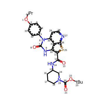 CC(C)Oc1ccc(N2C(=O)Nc3c(C(=O)NC4CCCN(C(=O)OC(C)(C)C)C4)sc4nccc2c34)cc1